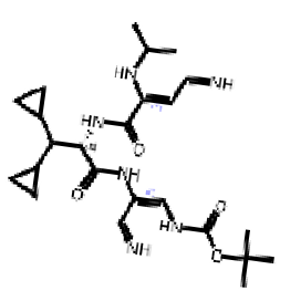 CC(C)N/C(=C\C=N)C(=O)N[C@H](C(=O)N/C(C=N)=C/NC(=O)OC(C)(C)C)C(C1CC1)C1CC1